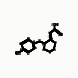 O=C(O)/C=C1\CCCCC1Cc1ccc(Cl)cc1